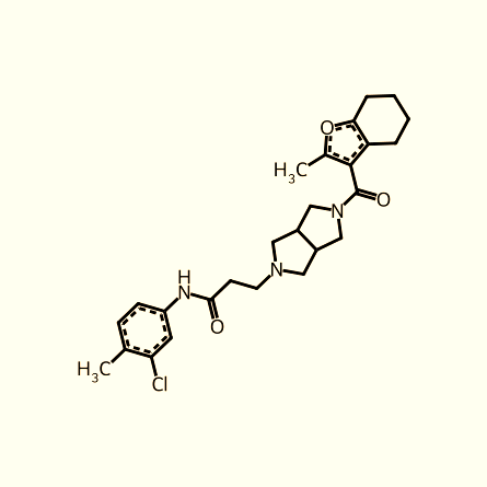 Cc1ccc(NC(=O)CCN2CC3CN(C(=O)c4c(C)oc5c4CCCC5)CC3C2)cc1Cl